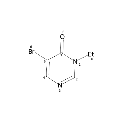 CCn1cncc(Br)c1=O